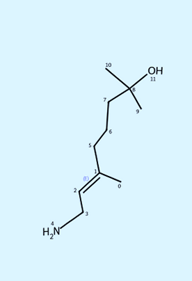 C/C(=C\CN)CCCC(C)(C)O